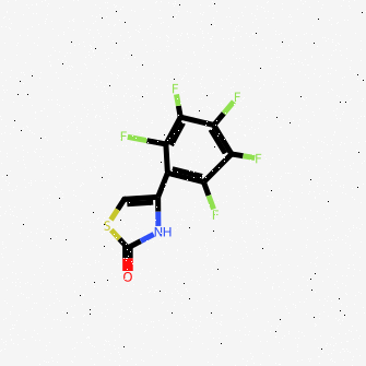 O=c1[nH]c(-c2c(F)c(F)c(F)c(F)c2F)cs1